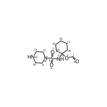 O=COC1(NS(=O)(=O)N2CCNCC2)CCCCC1